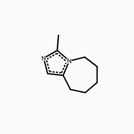 Cc1ncc2n1CCCCC2